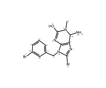 CN1C(O)=Nc2c(nc(Br)n2Cc2cccc(Br)c2)C1N